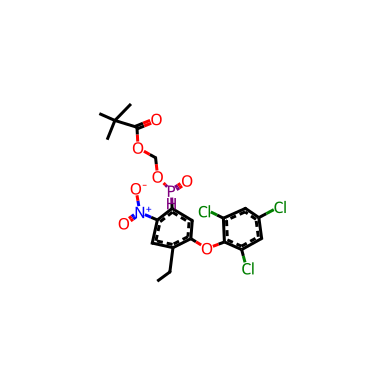 CCc1cc([N+](=O)[O-])c([PH](=O)OCOC(=O)C(C)(C)C)cc1Oc1c(Cl)cc(Cl)cc1Cl